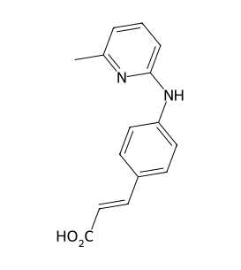 Cc1cccc(Nc2ccc(C=CC(=O)O)cc2)n1